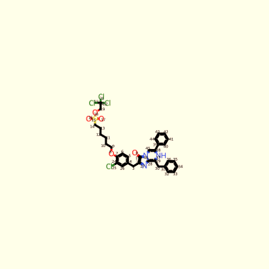 O=c1c(Cc2ccc(OCCCCCCS(=O)(=O)OCC(Cl)(Cl)Cl)c(Cl)c2)nc2c(Cc3ccccc3)[nH]c(-c3ccccc3)cn1-2